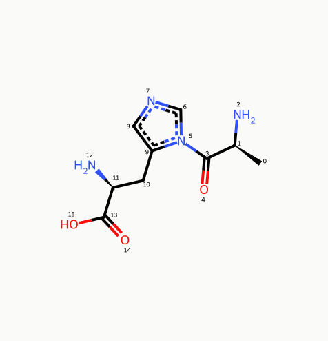 C[C@H](N)C(=O)n1cncc1C[C@H](N)C(=O)O